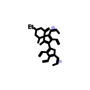 C=CC1=C(/C=C\C)CC(C2=C(C)C3(C(=C)CC(CC)CC3C)C(/C=C\C)=C2C=C)=C1C=C